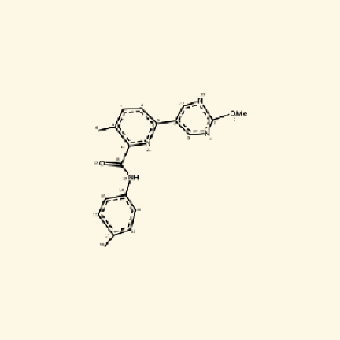 COc1ncc(-c2ccc(C)c(C(=O)Nc3ccc(C)cc3)n2)cn1